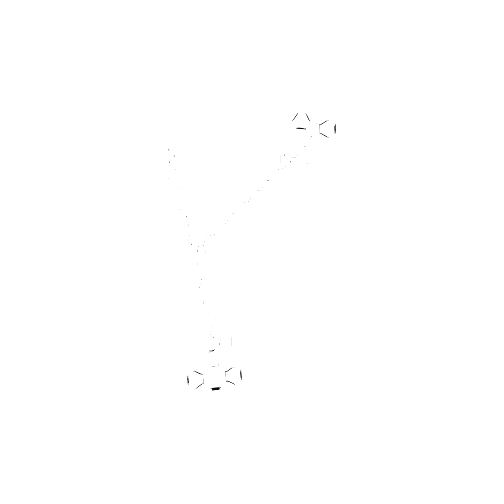 Cl.NCCOCCOCCOCCN(CCOCCOCCOCCNC(=O)OC1Cc2ccccc2C#Cc2ccccc21)C(=O)CCOCCOCCOCCOCCNC(=O)OCC1c2ccccc2-c2ccccc21